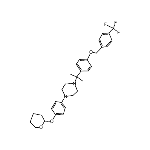 CC(C)(c1ccc(OCc2ccc(C(F)(F)F)cc2)cc1)N1CCN(c2ccc(OC3CCCCO3)cc2)CC1